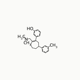 Cc1cccc(C2CCCC(CN(C)C)=C(c3cccc(O)c3)C2)c1